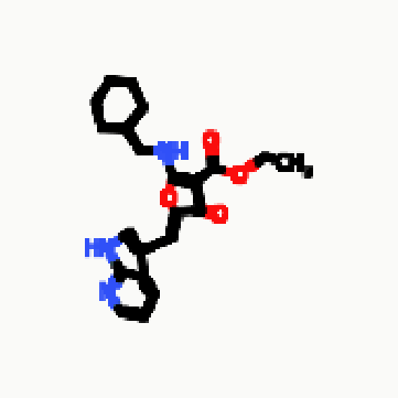 CCOC(=O)C1=C(NCC2CCCCC2)O/C(=C\c2c[nH]c3ncccc23)C1=O